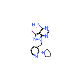 Nc1ncnc2c1c(I)nn2Cc1cccnc1N1CCCC1